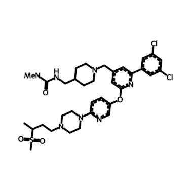 CNC(=O)NCC1CCN(Cc2cc(Oc3ccc(N4CCN(CCC(C)S(C)(=O)=O)CC4)nc3)nc(-c3cc(Cl)cc(Cl)c3)c2)CC1